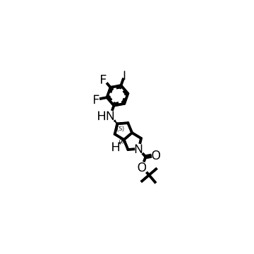 CC(C)(C)OC(=O)N1CC2C[C@H](Nc3ccc(I)c(F)c3F)C[C@@H]2C1